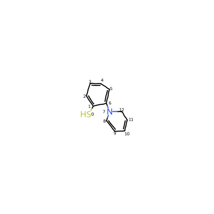 Sc1ccccc1N1C=CC=CC1